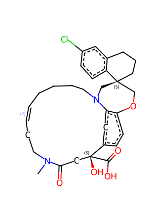 CN1CC/C=C\CCCCN2C[C@@]3(CCCc4cc(Cl)ccc43)COc3ccc(cc32)[C@](O)(C(=O)O)CC1=O